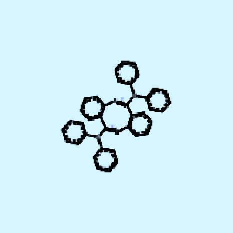 c1ccc(N(/C2=N/c3ccccc3/C(N(c3ccccc3)c3ccccc3)=N\c3ccccc32)c2ccccc2)cc1